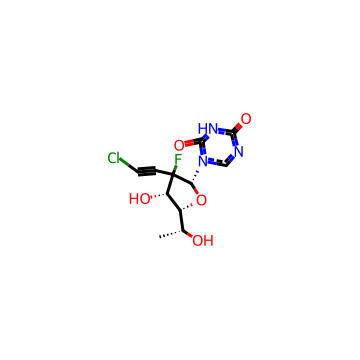 C[C@@H](O)[C@H]1O[C@@H](n2cnc(=O)[nH]c2=O)C(F)(C#CCl)[C@H]1O